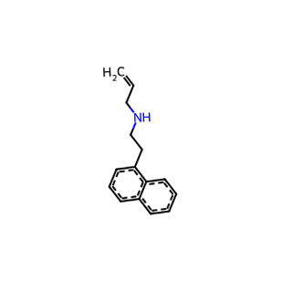 C=CCNCCc1cccc2ccccc12